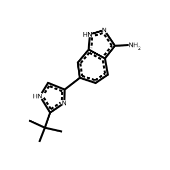 CC(C)(C)c1nc(-c2ccc3c(N)n[nH]c3c2)c[nH]1